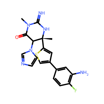 CN1C(=N)N[C@](C)(c2cc(-c3ccc(F)c(N)c3)cs2)C(n2ccnc2)C1=O